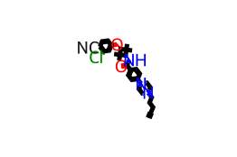 C#CCCCN1CCN(c2ccc(C(=O)N[C@H]3C(C)(C)[C@H](Oc4ccc(C#N)c(Cl)c4)C3(C)C)cc2)CC1